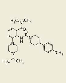 Cc1ccc(C2CCN(C(=O)Nc3c(C(=O)N(C)C)cccc3N3CCN(C(C)C)CC3)CC2)cc1